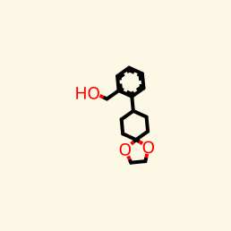 OCc1ccccc1C1CCC2(CC1)OCCO2